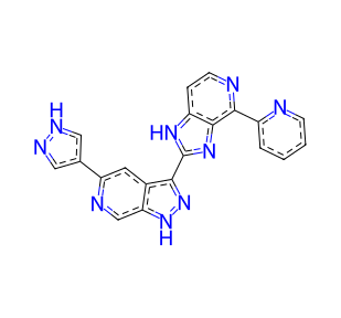 c1ccc(-c2nccc3[nH]c(-c4n[nH]c5cnc(-c6cn[nH]c6)cc45)nc23)nc1